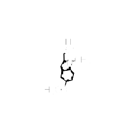 C=Cc1cc2cc(OC)ccc2n1C